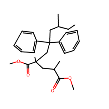 CCC(C)CC(CC(C)(CC(C)C(=O)OC)C(=O)OC)(c1ccccc1)c1ccccc1